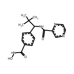 CC(C)(C)C(NC(=O)c1cnccn1)c1ccc(C(=O)NO)cc1